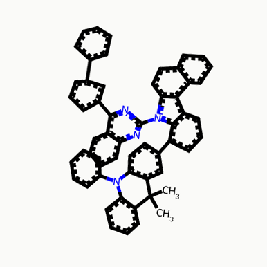 CC1(C)c2ccccc2N(c2ccccc2)c2ccc(-c3cccc4c5c6ccccc6ccc5n(-c5nc(-c6cccc(-c7ccccc7)c6)c6ccccc6n5)c34)cc21